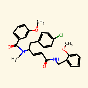 COc1cccc(C(=O)N(C)C(C=CC(=O)NCc2ccccc2OC)Cc2ccc(Cl)cc2)c1